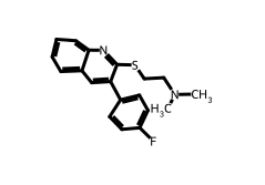 CN(C)CCSc1nc2ccccc2cc1-c1ccc(F)cc1